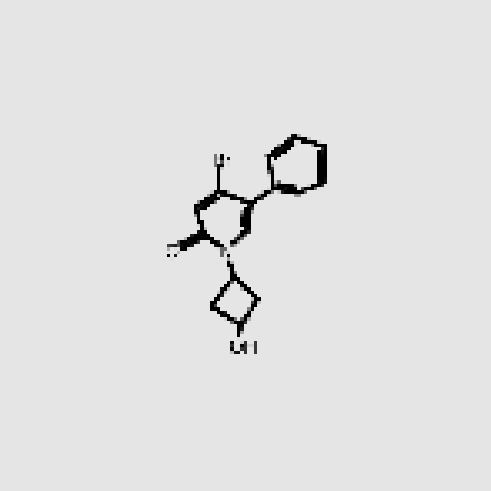 O=c1cc(Br)c(-c2ccccc2)cn1C1CC(O)C1